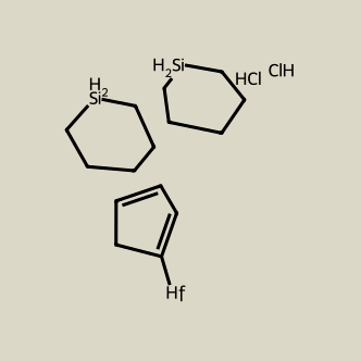 C1CC[SiH2]CC1.C1CC[SiH2]CC1.Cl.Cl.[Hf][C]1=CC=CC1